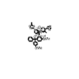 COc1ccc(C(OC[C@@]23CN(c4noc(C)n4)[C@@H]([C@H](n4cc(C)c(-n5cncn5)nc4=O)O2)[C@@H]3CC(=O)O)(c2ccccc2)c2ccc(OC)cc2)cc1